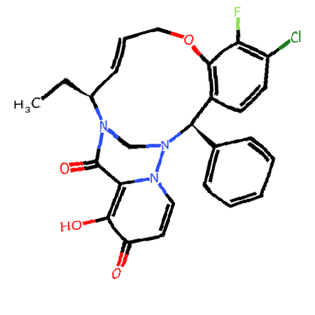 CC[C@H]1/C=C/COc2c(ccc(Cl)c2F)[C@@H](c2ccccc2)N2CN1C(=O)c1c(O)c(=O)ccn12